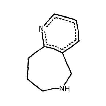 c1cnc2c(c1)CNCCC2